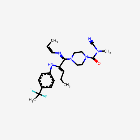 C\C=C/N=C(\C(=C\CC)Nc1ccc(C(C)(F)F)cc1)N1CCN(C(=O)N(C)C#N)CC1